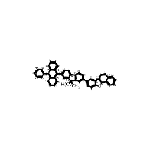 CC1(C)c2cc(-c3ccc4oc5c6ccccc6ccc5c4c3)ccc2-c2ccc(-c3c4ccccc4c(-c4ccccc4)c4ccccc34)cc21